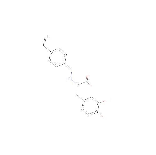 C=Cc1ccc(CN[C@@H](Cc2ccc(O)c(O)c2)C(=O)O)cc1